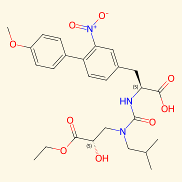 CCOC(=O)[C@@H](O)CN(CC(C)C)C(=O)N[C@@H](Cc1ccc(-c2ccc(OC)cc2)c([N+](=O)[O-])c1)C(=O)O